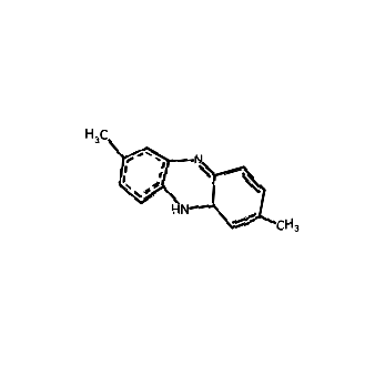 CC1=CC2Nc3ccc(C)cc3N=C2C=C1